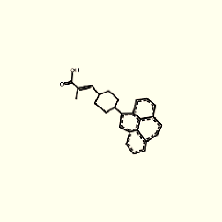 C/C(=C\C1CCC(c2cc3cccc4ccc5cccc2c5c43)CC1)C(=O)O